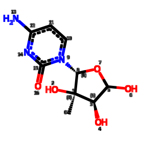 C[C@@]1(O)[C@H](O)C(O)O[C@H]1n1ccc(N)nc1=O